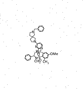 COc1cc(C)c(S(=O)(=O)N(C)C(COc2nccc(N3CCC4(CCN(Cc5ccccc5)C4)C3)n2)c2ccccc2)c(C)c1